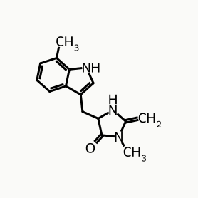 C=C1NC(Cc2c[nH]c3c(C)cccc23)C(=O)N1C